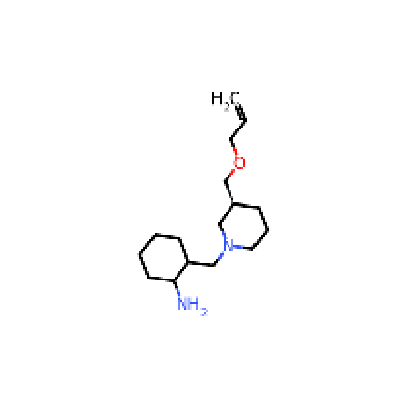 C=CCOC[C@H]1CCCN(CC2CCCCC2N)C1